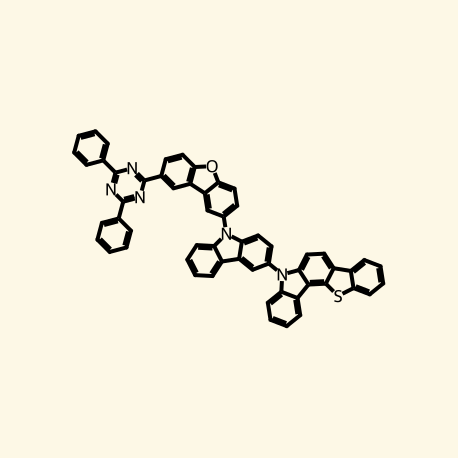 c1ccc(-c2nc(-c3ccccc3)nc(-c3ccc4oc5ccc(-n6c7ccccc7c7cc(-n8c9ccccc9c9c%10sc%11ccccc%11c%10ccc98)ccc76)cc5c4c3)n2)cc1